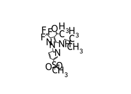 CC(=O)c1c(C(F)(F)F)nn(-c2ccc(S(C)(=O)=O)cn2)c1NCC(C)C